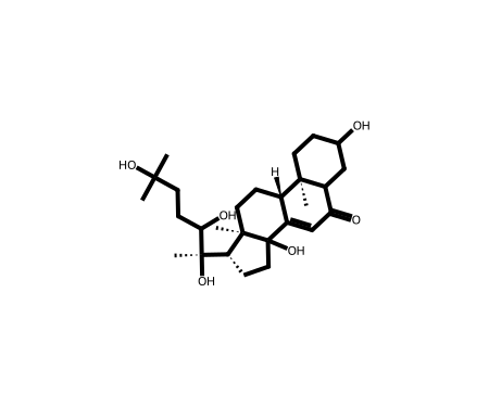 CC(C)(O)CCC(O)[C@](C)(O)[C@H]1CCC2(O)C3=CC(=O)C4CC(O)CC[C@]4(C)[C@H]3CC[C@]12C